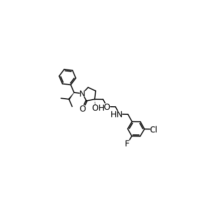 CC(C)[C@@H](c1ccccc1)N1CC[C@@](O)(COCNCc2cc(F)cc(Cl)c2)C1=O